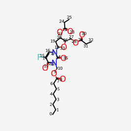 CCCCCCCC(=O)OCn1c(=O)c(F)cn([C@H]2C[C@H](OC(=O)CC)[C@@H](COC(=O)CC)O2)c1=O